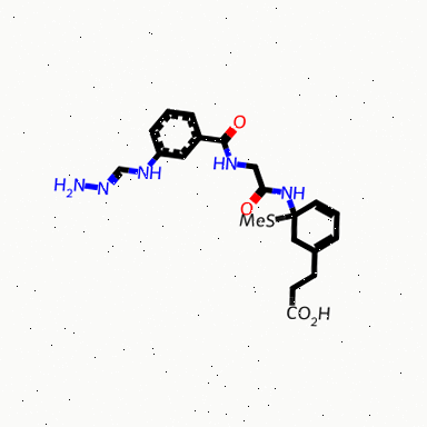 CSC1(NC(=O)CNC(=O)c2cccc(NC=NN)c2)C=CC=C(CCC(=O)O)C1